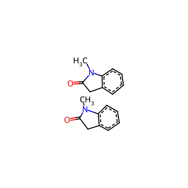 CN1C(=O)Cc2ccccc21.CN1C(=O)Cc2ccccc21